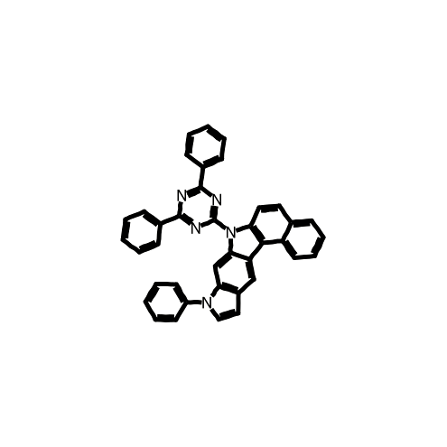 c1ccc(-c2nc(-c3ccccc3)nc(-n3c4cc5c(ccn5-c5ccccc5)cc4c4c5ccccc5ccc43)n2)cc1